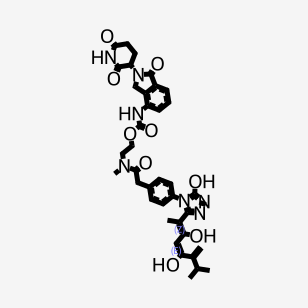 C=C(/C(O)=C\C(O)=C(/C)c1nnc(O)n1-c1ccc(CC(=O)N(C)CCOC(=O)Nc2cccc3c2CN(C2CCC(=O)NC2=O)C3=O)cc1)C(C)C